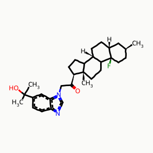 C[C@H]1CC[C@]2(F)C3CC[C@@]4(C)C(CC[C@@H]4C(=O)Cn4cnc5ccc(C(C)(C)O)cc54)[C@@H]3CC[C@@H]2C1